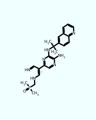 CC(C)(Nc1nc(/C(C=N)=C/NCP(C)(C)=O)cnc1N)c1ccc2ncccc2c1